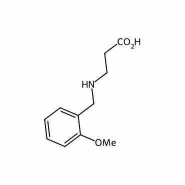 COc1ccccc1CNCCC(=O)O